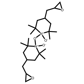 CC1(C)CC(CC2CO2)CC(C)(C)[N+]1([O-])O[N+]1([O-])C(C)(C)CC(CC2CO2)CC1(C)C